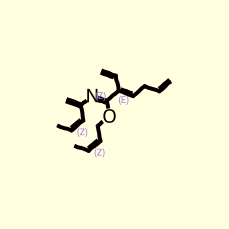 C=CC/C=C(C=C)/C(=N/C(=C)/C=C\C)OC/C=C\C